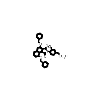 O=C(O)Cc1ccc(N2C(=O)c3c(OCc4ccccc4)cc4cccc(OCc5ccccc5)c4c3C2=O)c(Cl)c1